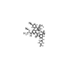 C[C@H](CC#N)Nc1cc(-c2cc(C#N)ccc2-c2nncn2C)cc(N2Cc3c(cc(CN4CCC5(CC5)C4)cc3C(F)(F)F)C2=O)n1